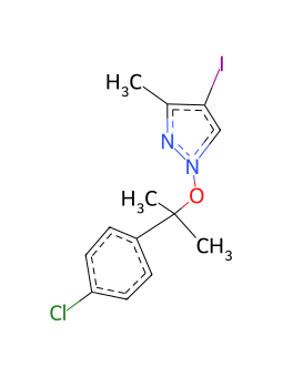 Cc1nn(OC(C)(C)c2ccc(Cl)cc2)cc1I